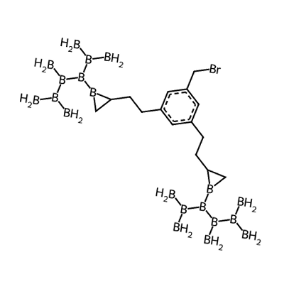 BB(B)B(B)B(B(B)B)B1CC1CCc1cc(CBr)cc(CCC2CB2B(B(B)B)B(B)B(B)B)c1